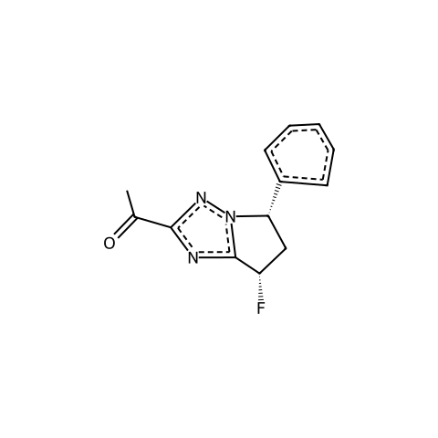 CC(=O)c1nc2n(n1)[C@H](c1ccccc1)C[C@@H]2F